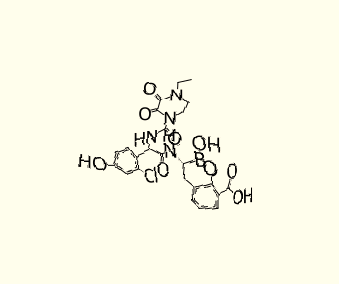 CCN1CCN(C(=O)NC(C(=O)N[C@H]2Cc3cccc(C(=O)O)c3OB2O)c2ccc(O)cc2Cl)C(=O)C1=O